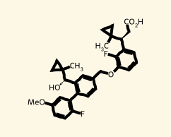 COc1ccc(F)c(-c2ccc(COc3cccc([C@H](CC(=O)O)C4(C)CC4)c3F)cc2[C@H](O)C2(C)CC2)c1